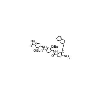 CC(C)COc1cc(C(N)=O)ccc1NC(=O)c1ccc(NC(=O)c2ccc([N+](=O)[O-])c(OCCc3ccc4ccccc4c3)c2)c(OCC(C)C)c1